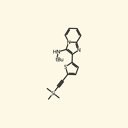 CC(C)(C)Nc1c(-c2ccc(C#C[Si](C)(C)C)s2)nc2ccccn12